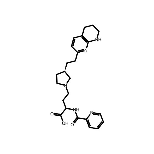 O=C(NC(CCN1CC[C@@H](CCc2ccc3c(n2)NCCC3)C1)C(=O)O)c1ccccn1